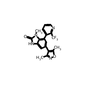 Cc1noc(C)c1-c1cc(-c2cccnc2C(F)(F)F)c2c(c1)[nH]c(=O)n2C